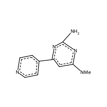 CNc1cc(-c2ccncc2)nc(N)n1